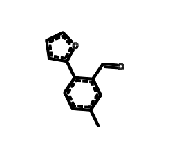 Cc1ccc(-c2ccco2)c(C=O)c1